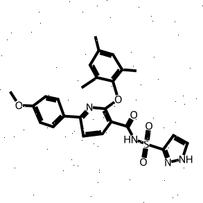 COc1ccc(-c2ccc(C(=O)NS(=O)(=O)c3cc[nH]n3)c(Oc3c(C)cc(C)cc3C)n2)cc1